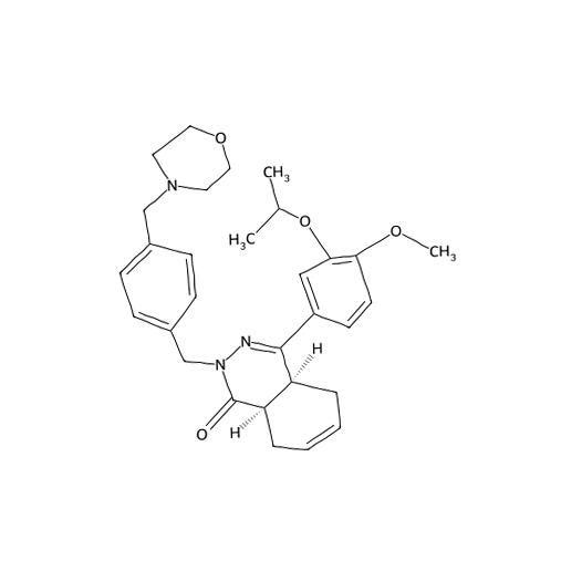 COc1ccc(C2=NN(Cc3ccc(CN4CCOCC4)cc3)C(=O)[C@@H]3CC=CC[C@H]23)cc1OC(C)C